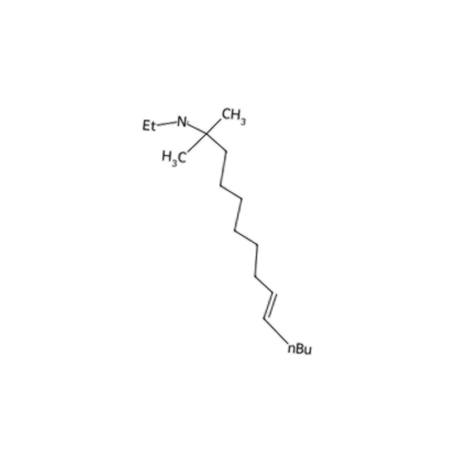 CCCCC=CCCCCCCC(C)(C)[N]CC